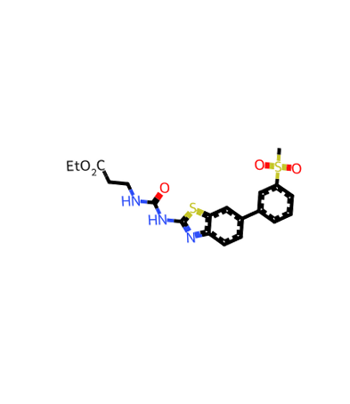 CCOC(=O)CCNC(=O)Nc1nc2ccc(-c3cccc(S(C)(=O)=O)c3)cc2s1